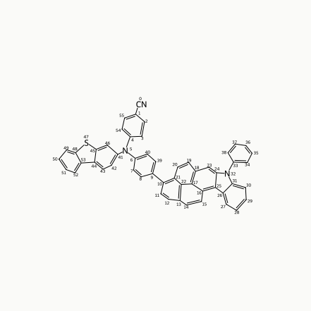 N#Cc1ccc(N(c2ccc(-c3ccc4ccc5c6c(ccc3c46)cc3c5c4ccccc4n3-c3ccccc3)cc2)c2ccc3c(c2)sc2ccccc23)cc1